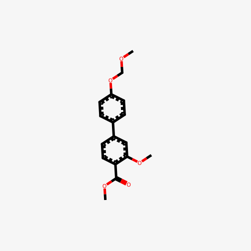 COCOc1ccc(-c2ccc(C(=O)OC)c(OC)c2)cc1